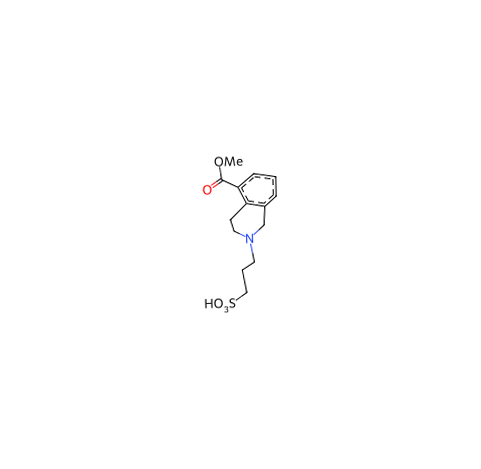 COC(=O)c1cccc2c1CCN(CCCS(=O)(=O)O)C2